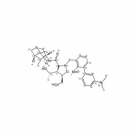 COc1c(CN2O[C@@H](CO)[C@@H]([C@H](C)O)C2C(=O)N[C@H]2CC3C[C@@H]([C@@H]2C)C3(C)C)cccc1-c1cccc(N(C)C)c1